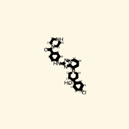 O=C(c1ccc(Nc2nc3c(N4CCC(O)(c5ccc(Cl)cc5)CC4)cccn3n2)cc1)N1CCNCC1